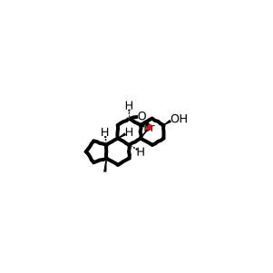 C[C@@]12CCC[C@H]1[C@@H]1C[C@H]3OC[C@@]4(CC[C@H](O)C[C@@]34Br)[C@H]1CC2